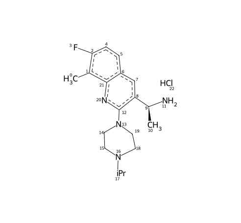 Cc1c(F)ccc2cc([C@H](C)N)c(N3CCN(C(C)C)CC3)nc12.Cl